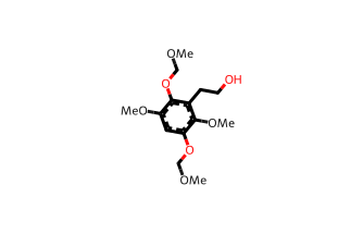 COCOc1cc(OC)c(OCOC)c(CCO)c1OC